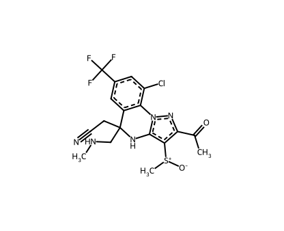 CNCC1(CC#N)Nc2c([S+](C)[O-])c(C(C)=O)nn2-c2c(Cl)cc(C(F)(F)F)cc21